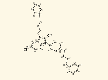 O=c1n(CCCCc2ccccc2)c2cc(Cl)ccc2n1C1CCN(CCCCc2ccccc2)CC1